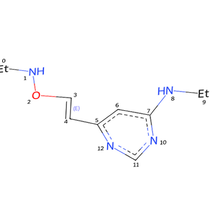 CCNO/C=C/c1cc(NCC)ncn1